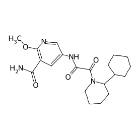 COc1ncc(NC(=O)C(=O)N2CCCCC2C2CCCCC2)cc1C(N)=O